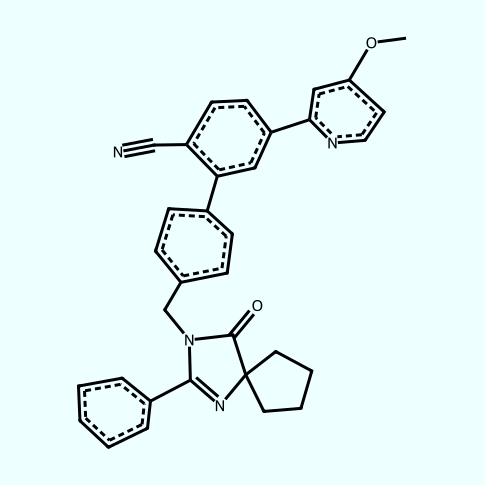 COc1ccnc(-c2ccc(C#N)c(-c3ccc(CN4C(=O)C5(CCCC5)N=C4c4ccccc4)cc3)c2)c1